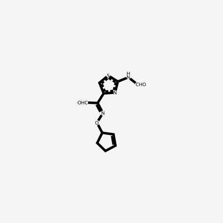 O=[C]/C(=N\OC1C=CCC1)c1csc(NC=O)n1